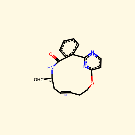 O=C[C@@H]1C/C=C/CCOc2ccnc(n2)-c2ccccc2C(=O)N1